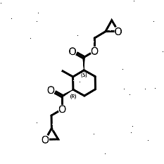 CC1[C@@H](C(=O)OCC2CO2)CCC[C@H]1C(=O)OCC1CO1